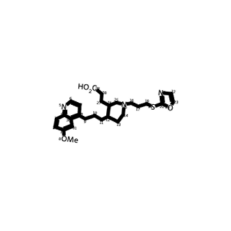 COc1ccc2nccc(CCCC3CCN(CCCSc4ncco4)CC3CCC(=O)O)c2c1